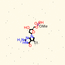 CCc1cn([C@H]2C[C@@H](O)[C@@H](COP(=O)(O)OC)O2)c2nc(N)[nH]c(=O)c12